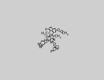 CCc1c(F)ccc2cc(OCOC)cc(-c3oc(=O)c4c(NCc5ccc6ncnn6c5)nc(OC[C@@]56CCCN5C[C@H](F)C6)nc4c3C)c12